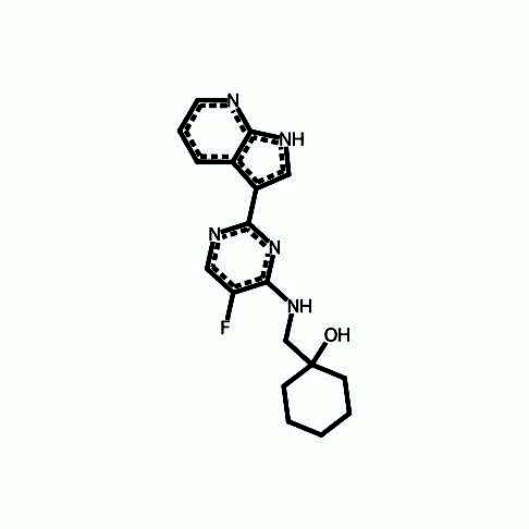 OC1(CNc2nc(-c3c[nH]c4ncccc34)ncc2F)CCCCC1